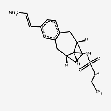 O=C(O)/C=C/c1ccc2c(c1)C[C@H]1CC[C@@H](C2)[C@@H]1NS(=O)(=O)NCC(F)(F)F